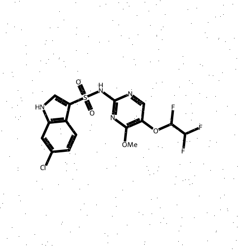 COc1nc(NS(=O)(=O)c2c[nH]c3cc(Cl)ccc23)ncc1OC(F)C(F)F